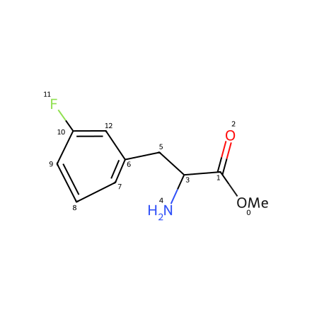 COC(=O)C(N)Cc1cccc(F)c1